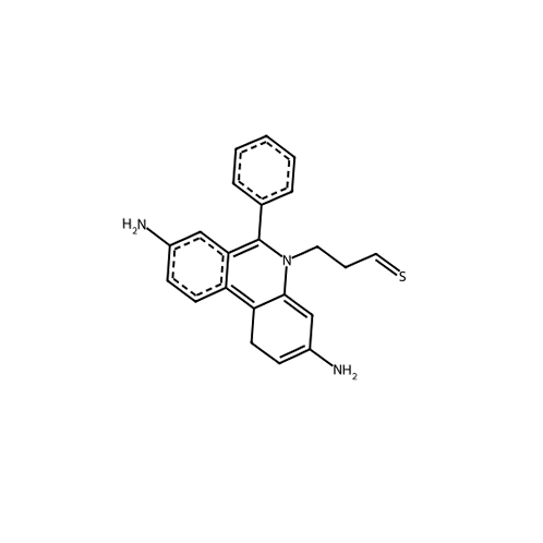 NC1=CCC2=c3ccc(N)cc3=C(c3ccccc3)N(CCC=S)C2=C1